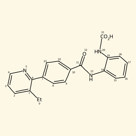 CCc1cccnc1-c1ccc(C(=O)Nc2ccccc2NC(=O)O)cc1